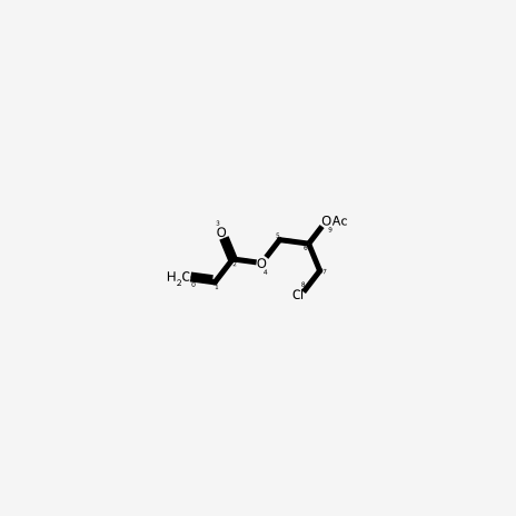 C=CC(=O)OCC(CCl)OC(C)=O